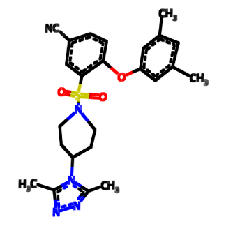 Cc1cc(C)cc(Oc2ccc(C#N)cc2S(=O)(=O)N2CCC(n3c(C)nnc3C)CC2)c1